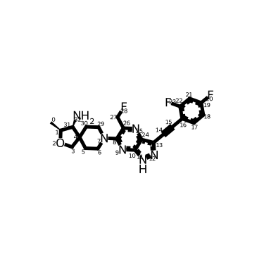 C[C@@H]1OCC2(CCN(c3nc4[nH]nc(C#Cc5ccc(F)cc5F)c4nc3CF)CC2)[C@@H]1N